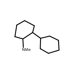 [CH2]NC1CCCCC1C1CCCCC1